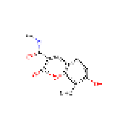 CCNC(=O)c1cc2ccc(O)c(C=O)c2oc1=O